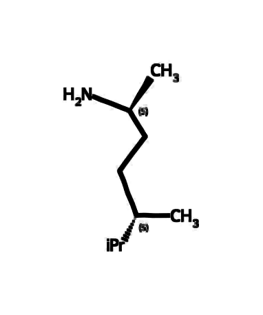 CC(C)[C@@H](C)CC[C@H](C)N